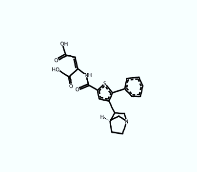 O=C(O)/C=C(/NC(=O)c1cc(C2CN3CC[C@@H]2C3)c(-c2ccccc2)s1)C(=O)O